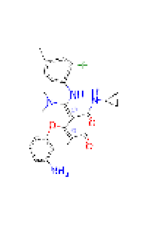 C/C(C=O)=C(Oc1cccc(N)c1)/C(C(=O)NC1CC1)=C(/Nc1ccc(C)cc1F)N(C)C